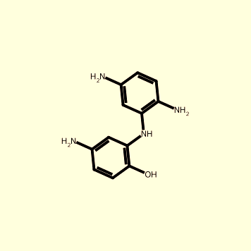 Nc1ccc(N)c(Nc2cc(N)ccc2O)c1